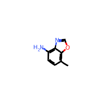 Cc1ccc(N)c2ncoc12